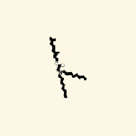 CCCCCCCCN(CCCCCCCC)CC(=O)OC/C=C(\C)CCC=C(C)C